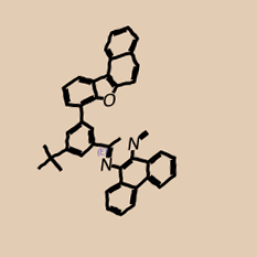 C=Nc1c(/N=C(\C)c2cc(-c3cccc4c3oc3ccc5ccccc5c34)cc(C(C)(C)C)c2)c2ccccc2c2ccccc12